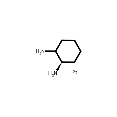 NC1CCCC[C@H]1N.[Pt]